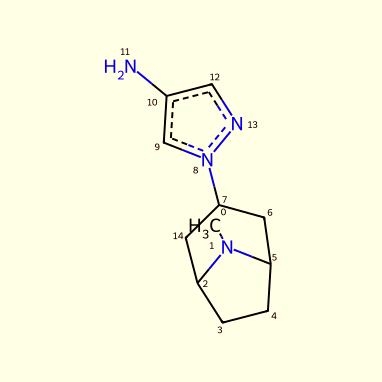 CN1C2CCC1CC(n1cc(N)cn1)C2